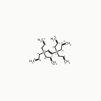 C=CC[Si](C=C[Si](CC=C)(CC=C)CC=C)(CC=C)CC=C